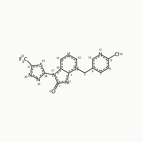 O=c1nc2n(Cc3ccc(Cl)nc3)cccc-2n1-c1nnc(C(F)(F)F)s1